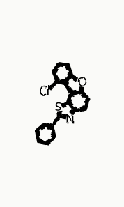 Clc1cccc2oc3ccc4nc(-c5ccccc5)sc4c3c12